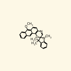 COc1c2ccccc2cc2c3c(ccc12)N=CC1(O3)N(C)c2ccccc2C1(C)C